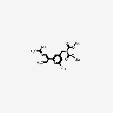 C=C/C(=C\N=C(/N)C(F)(F)F)c1cc(CN(C(=O)OC(C)(C)C)C(=O)OC(C)(C)C)cc(C(F)(F)F)n1